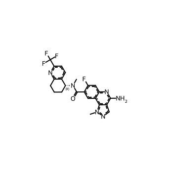 CN(C(=O)c1cc2c(cc1F)nc(N)c1cnn(C)c12)[C@@H]1CCCc2nc(C(F)(F)F)ccc21